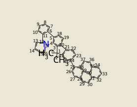 CC1(C)c2cc(-c3ccccc3-c3ccccn3)ccc2-c2ccc(-c3ccc4ccc5cccc6ccc3c4c56)cc21